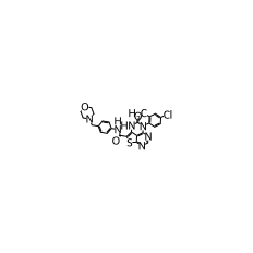 Cc1cc(Cl)ccc1N1C(=O)Nc2c(C(=O)Nc3ccc(CN4CCOCC4)cc3)sc3ncnc1c23